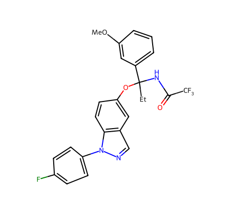 CCC(NC(=O)C(F)(F)F)(Oc1ccc2c(cnn2-c2ccc(F)cc2)c1)c1cccc(OC)c1